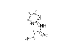 CC(=O)C(CCF)Nc1ncccn1